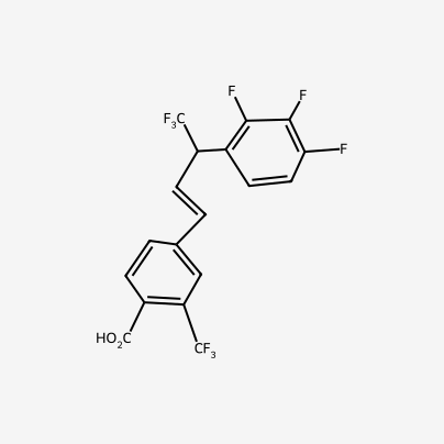 O=C(O)c1ccc(/C=C/C(c2ccc(F)c(F)c2F)C(F)(F)F)cc1C(F)(F)F